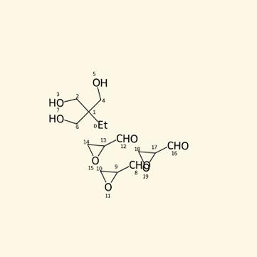 CCC(CO)(CO)CO.O=CC1CO1.O=CC1CO1.O=CC1CO1